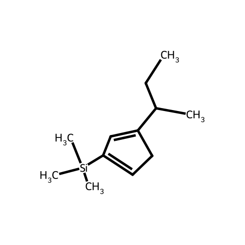 CCC(C)C1=CC([Si](C)(C)C)=CC1